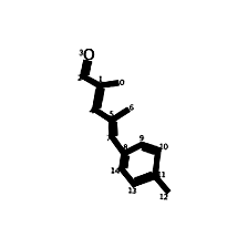 C/C(C=O)=C\C(C)=C\c1ccc(C)cc1